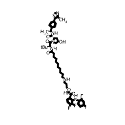 Cc1ncsc1-c1ccc([C@H](C)NC(=O)[C@@H]2C[C@@H](O)CN2C(=O)[C@@H](NC(=O)CCCCCCCCCCNCCCONC(=O)c2ccc(F)c(F)c2Nc2ccc(I)cc2F)C(C)(C)C)cc1